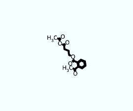 CC(=O)OC(=O)CCCOC(=O)c1ccccc1C(C)=O